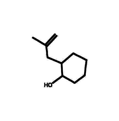 C=C(C)CC1CCCCC1O